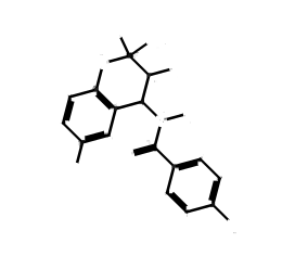 CCc1ccc2c(c1)C(N(CC)C(=O)c1ccc(F)cc1)C(O)C(C)(C)O2